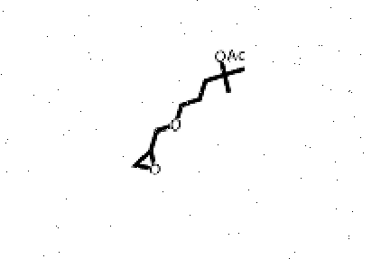 CC(=O)OC(C)(C)CCCOCC1CO1